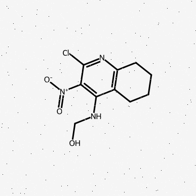 O=[N+]([O-])c1c(Cl)nc2c(c1NCO)CCCC2